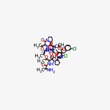 COC(=O)[C@@]1(Cc2cccc(Cl)c2)COC([C@@H]2CCCN2C(=O)[C@@H](NC(=O)[C@H](C)N)[C@@H](C)O/C(C)=C(\C)O[C@H](C)[C@H](NC(=O)[C@H](C)N)C(=O)N2CCC[C@H]2C2=N[C@@](Cc3cccc(Cl)c3)(C(=O)OC)CO2)=N1